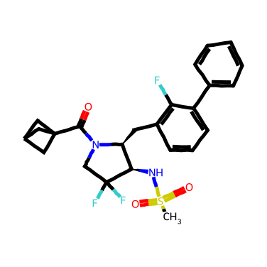 CS(=O)(=O)N[C@@H]1[C@H](Cc2cccc(-c3ccccc3)c2F)N(C(=O)C23CC(C2)C3)CC1(F)F